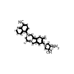 C[C@@H]1CN(c2ccc(C#N)c3ncccc23)CC2=C3CC(F)=C(N4C[C@@H](N)[C@](C)(O)C4)C=C3CN21